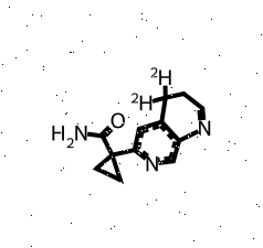 [2H]C1([2H])CC=Nc2cnc(C3(C(N)=O)CC3)cc21